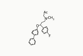 CC(=O)CN(C)CCC(Oc1ccc(-c2ccccc2)cc1)c1ccc(F)cc1